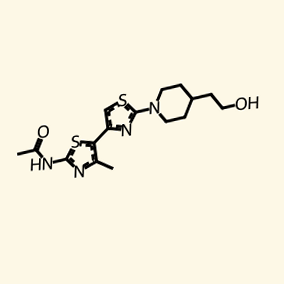 CC(=O)Nc1nc(C)c(-c2csc(N3CCC(CCO)CC3)n2)s1